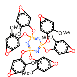 COc1cc2c(cc1OP1(Oc3cc4c(cc3OC)O4)=NP(Oc3cc4c(cc3OC)O4)(Oc3cc4c(cc3OC)O4)=NP(Oc3cc4c(cc3OC)O4)(Oc3cc4c(cc3OC)O4)=N1)O2